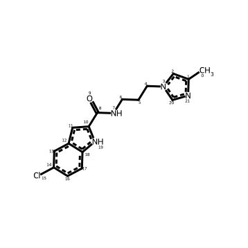 Cc1cn(CCCNC(=O)c2cc3cc(Cl)ccc3[nH]2)cn1